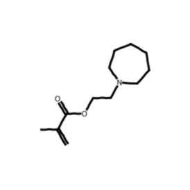 C=C(C)C(=O)OCCN1CCCCCC1